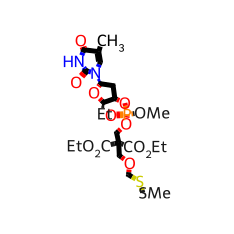 CCOC(=O)C(COCSSC)(COP(=O)(OC)OC1C[C@H](n2cc(C)c(=O)[nH]c2=O)O[C@@H]1CC)C(=O)OCC